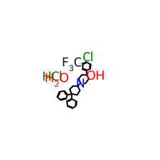 Cl.O.OC1(c2ccc(Cl)c(C(F)(F)F)c2)CCN(C2CCC(c3ccccc3)(c3ccccc3)CC2)CC1